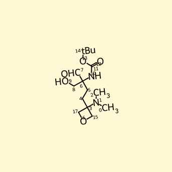 CN(C)C1(CCC(C=O)(CO)NC(=O)OC(C)(C)C)COC1